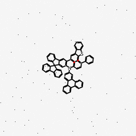 c1ccc(-c2ccc(N(c3ccc4c5ccccc5c5ccccc5c4c3)c3cc4c(cc3-c3ccc5sc6ccccc6c5c3)-c3ccccc3C43c4ccccc4-c4ccccc43)cc2)cc1